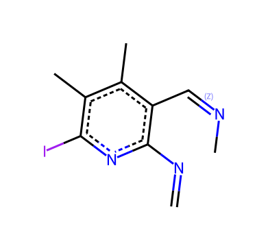 C=Nc1nc(I)c(C)c(C)c1/C=N\C